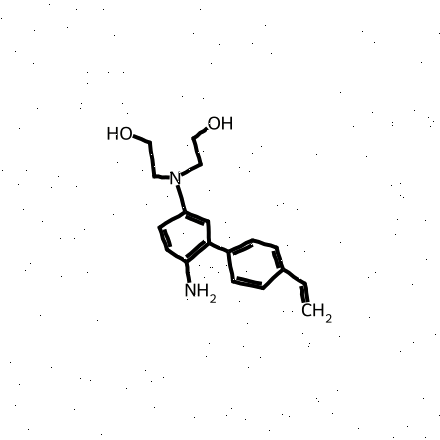 C=Cc1ccc(-c2cc(N(CCO)CCO)ccc2N)cc1